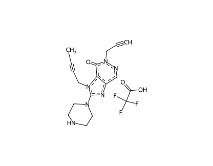 C#CCn1ncc2nc(N3CCNCC3)n(CC#CC)c2c1=O.O=C(O)C(F)(F)F